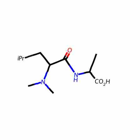 CC(C)CC(C(=O)NC(C)C(=O)O)N(C)C